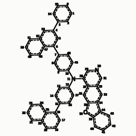 c1ccc(-c2cc(-c3ccc(N(c4ccc(-c5cccc6ccccc56)cc4)c4cncc5cc6c(cc45)oc4ccccc46)cc3)c3ccccc3c2)cc1